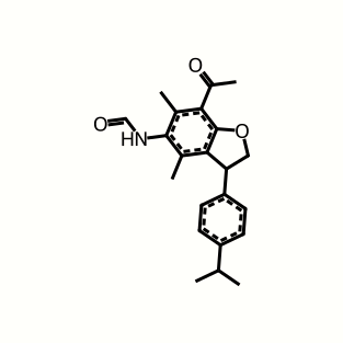 CC(=O)c1c(C)c(NC=O)c(C)c2c1OCC2c1ccc(C(C)C)cc1